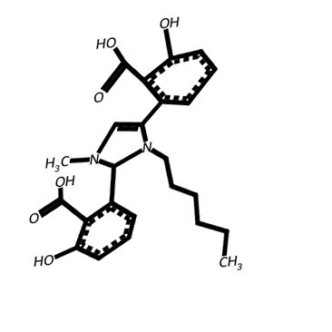 CCCCCCN1C(c2cccc(O)c2C(=O)O)=CN(C)C1c1cccc(O)c1C(=O)O